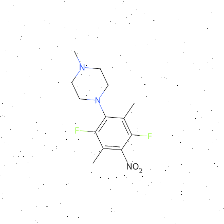 Cc1c(F)c([N+](=O)[O-])c(C)c(F)c1N1CCN(C)CC1